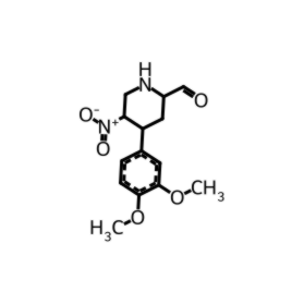 COc1ccc(C2CC(C=O)NCC2[N+](=O)[O-])cc1OC